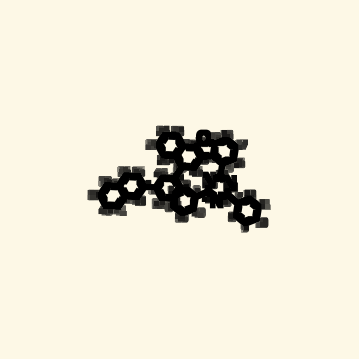 c1ccc(-c2nc(-c3ccccc3)nc(-c3cccc4oc5c6ccccc6c(-c6cccc(-c7ccc8ccccc8c7)c6)cc5c34)n2)cc1